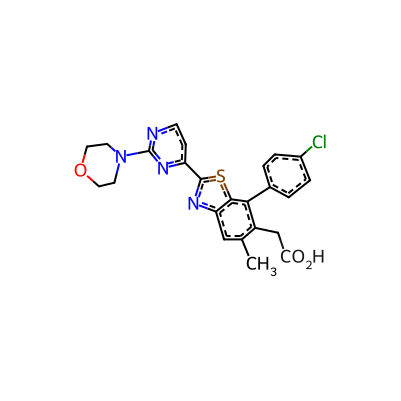 Cc1cc2nc(-c3ccnc(N4CCOCC4)n3)sc2c(-c2ccc(Cl)cc2)c1CC(=O)O